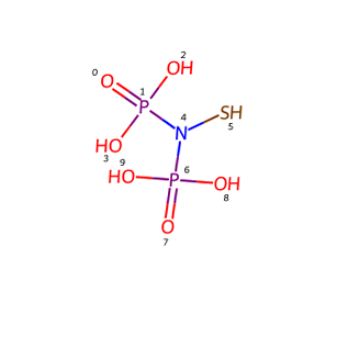 O=P(O)(O)N(S)P(=O)(O)O